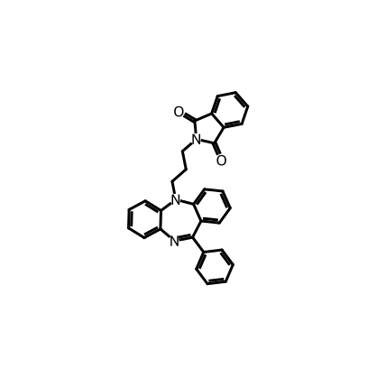 O=C1c2ccccc2C(=O)N1CCCN1c2ccccc2N=C(c2ccccc2)c2ccccc21